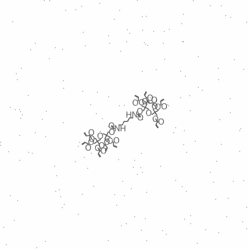 C=CC(=O)OCC(COCC(COC(=O)C=C)(COC(=O)C=C)COC(=O)NCCCCCCNC(=O)OCC(COCC(COC(=O)C=C)(COC(=O)C=C)COC(=O)C=C)(COC(=O)C=C)COC(=O)C=C)(COC(=O)C=C)COC(=O)C=C